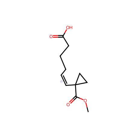 COC(=O)C1(/C=C\CCCC(=O)O)CC1